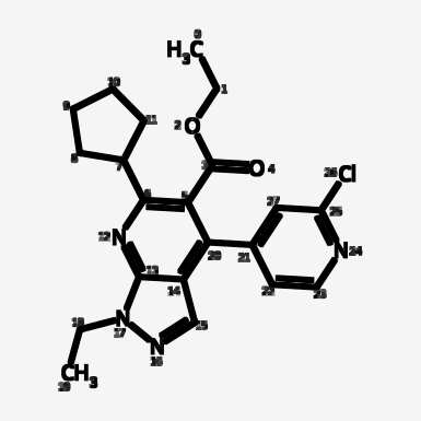 CCOC(=O)c1c(C2CCCC2)nc2c(cnn2CC)c1-c1ccnc(Cl)c1